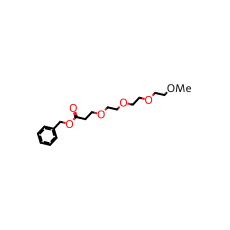 COCCOCCOCCOCCC(=O)OCc1ccccc1